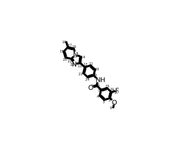 COc1ccc(C(=O)Nc2ccc(-c3cn4cc(C)ccc4n3)cc2)cc1F